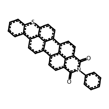 O=c1c2ccc3c4ccc5sc6ccccc6c6ccc(c7ccc(c(=O)n1-c1ccccc1)c2c37)c4c56